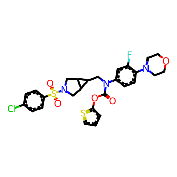 O=C(Oc1cccs1)N(CC1C2CN(S(=O)(=O)c3ccc(Cl)cc3)CC12)c1ccc(N2CCOCC2)c(F)c1